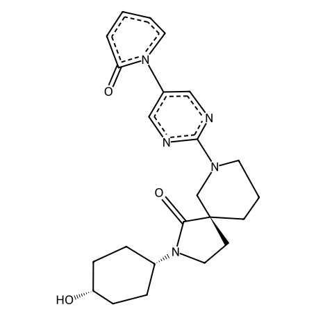 O=C1N([C@H]2CC[C@@H](O)CC2)CC[C@@]12CCCN(c1ncc(-n3ccccc3=O)cn1)C2